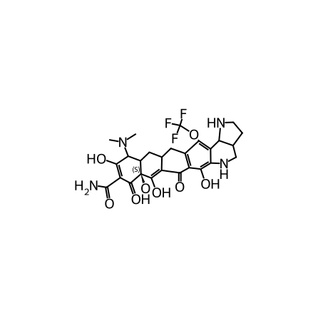 CN(C)C1C(O)=C(C(N)=O)C(=O)[C@@]2(O)C(O)=C3C(=O)c4c(O)c5c(c(OC(F)(F)F)c4CC3CC12)C1NCCC1CN5